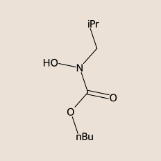 CCCCOC(=O)N(O)CC(C)C